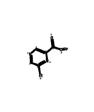 CCc1cncc(C(=O)OC)n1